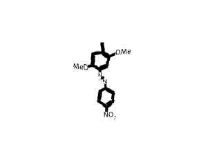 COc1cc(/N=N/c2ccc([N+](=O)[O-])cc2)c(OC)cc1C